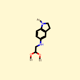 CCOC(CNc1ccc2c(c1)CCN2C(C)=O)OCC